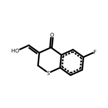 O=C1/C(=C/O)CSc2ccc(F)cc21